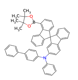 CC1(C)OB(c2cccc3c2-c2ccccc2C32c3ccccc3-c3ccc(N(c4ccccc4)c4ccc(-c5ccccc5)cc4)cc32)OC1(C)C